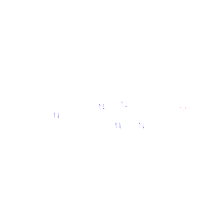 c1ccc(-c2nc(-c3ccc4c(c3)oc3ccc5ccccc5c34)nc(-n3c4ccccc4c4c5c6ccccc6n(-c6ccccc6)c5ccc43)n2)cc1